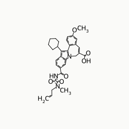 C=CCN(C)S(=O)(=O)NC(=O)c1ccc2c(C3CCCCC3)c3n(c2c1)CC(C(=O)O)=Cc1cc(OC)ccc1-3